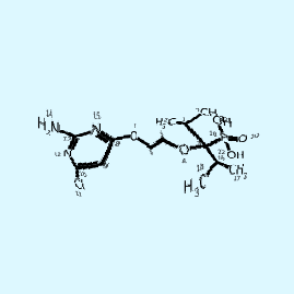 CC(C)C(OCCOc1cc(Cl)nc(N)n1)(C(C)C)P(=O)(O)O